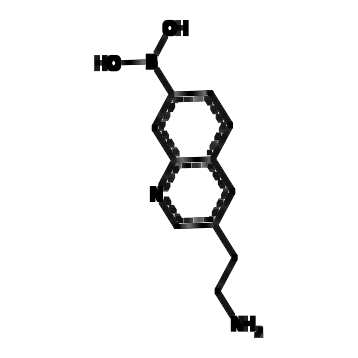 NCCc1cnc2cc(B(O)O)ccc2c1